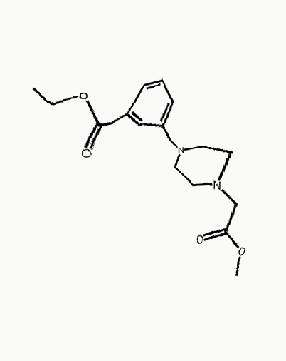 CCOC(=O)c1c[c]cc(N2CCN(CC(=O)OC)CC2)c1